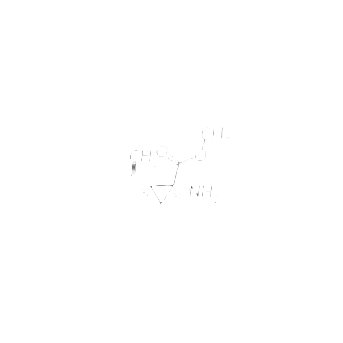 C=C[C@H]1C[C@]1(N)C(=O)OC